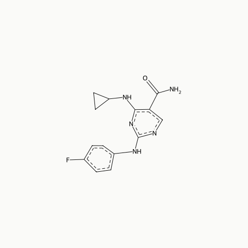 NC(=O)c1cnc(Nc2ccc(F)cc2)nc1NC1CC1